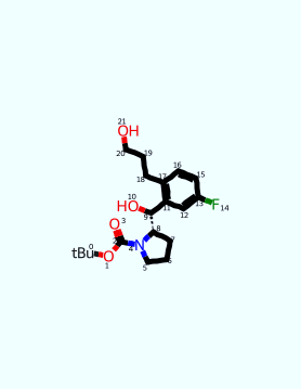 CC(C)(C)OC(=O)N1CCC[C@H]1C(O)c1cc(F)ccc1CCCO